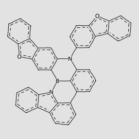 c1cc2c3c(c1)N(c1ccc4oc5ccccc5c4c1)c1cc4c(cc1B3n1c3ccccc3c3cccc-2c31)oc1ccccc14